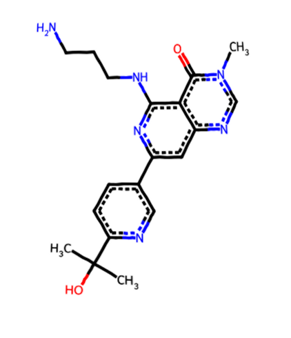 Cn1cnc2cc(-c3ccc(C(C)(C)O)nc3)nc(NCCCN)c2c1=O